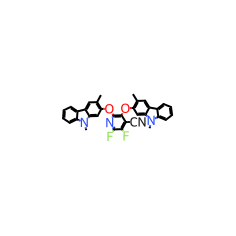 Cc1cc2c3ccccc3n(C)c2cc1Oc1nc(F)c(F)c(C#N)c1Oc1cc2c(cc1C)c1ccccc1n2C